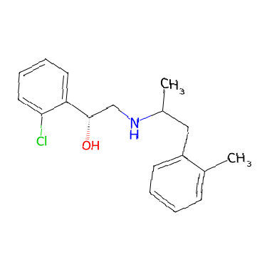 Cc1ccccc1CC(C)NC[C@H](O)c1ccccc1Cl